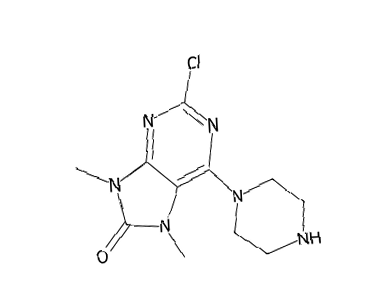 Cn1c(=O)n(C)c2c(N3CCNCC3)nc(Cl)nc21